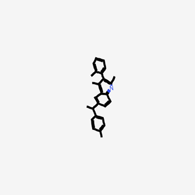 Cc1ccc(C(C)c2ccc3nc(C)c(-c4ccccc4C)c(C)c3c2)cc1